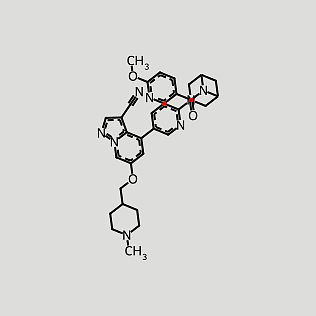 COc1ccc(C(=O)N2C3CC2CN(c2ccc(-c4cc(OCC5CCN(C)CC5)cn5ncc(C#N)c45)cn2)C3)cn1